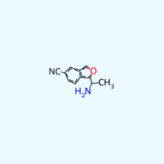 CC(N)c1occ2cc(C#N)ccc12